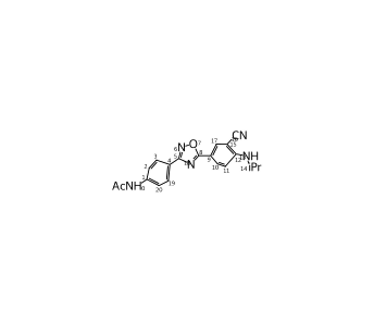 CC(=O)Nc1ccc(-c2noc(-c3ccc(NC(C)C)c(C#N)c3)n2)cc1